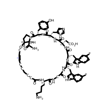 NCCCC[C@@H]1NC(=O)CCCCC/C=C/CO[C@@H]2CCN(C(=O)[C@H](Cc3ccc(O)cc3)NC(=O)[C@H](Cc3cnc[nH]3)NC(=O)[C@H](CC(=O)O)NC(=O)[C@H](Cc3c[nH]c4ccc(F)cc34)NC(=O)[C@H](Cc3c[nH]c4ccc(F)cc34)NC(=O)CNC1=O)[C@@H]2C(N)=O